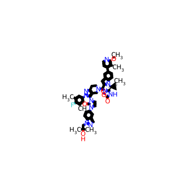 COc1nccc(-c2ccc3c(c2)cc(C(=O)N2CCc4nn(-c5cc(C)c(F)c(C)c5)c(-n5ccn(-c6ccc7c(cnn7CC(C)(C)O)c6)c5=O)c4C2)n3[C@@]2(c3noc(=O)[nH]3)C[C@@H]2C)c1C